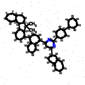 CC1(C)c2ccc3ccccc3c2-c2cccc(-c3ccc(-c4cc(-c5ccc6ccccc6c5)nc(-c5ccc(-c6ccccc6)cc5)n4)c4ccccc34)c21